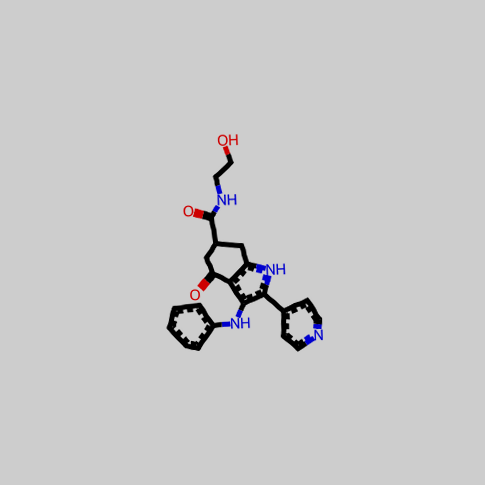 O=C1CC(C(=O)NCCO)Cc2[nH]c(-c3ccncc3)c(Nc3ccccc3)c21